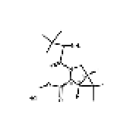 COC(=O)[C@@H]1[C@@H]2[C@H](CN1C(=O)C(N)C(C)(C)C)C2(C)C.Cl